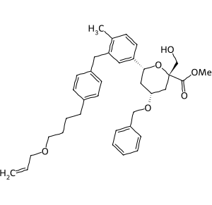 C=CCOCCCCc1ccc(Cc2cc([C@H]3C[C@@H](OCc4ccccc4)C[C@@](CO)(C(=O)OC)O3)ccc2C)cc1